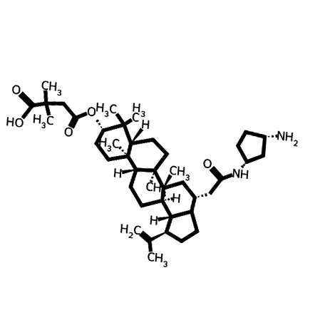 C=C(C)[C@@H]1CCC2[C@@H](CC(=O)N[C@@H]3CC[C@H](N)C3)C[C@]3(C)[C@H](CC[C@@H]4[C@@]5(C)CC[C@H](OC(=O)CC(C)(C)C(=O)O)C(C)(C)[C@@H]5CC[C@]43C)[C@H]21